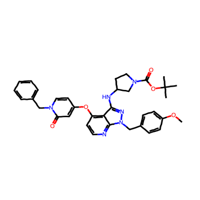 COc1ccc(Cn2nc(NC3CCN(C(=O)OC(C)(C)C)C3)c3c(Oc4ccn(Cc5ccccc5)c(=O)c4)ccnc32)cc1